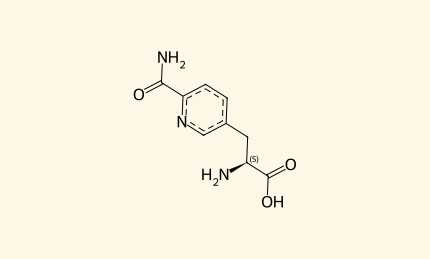 NC(=O)c1ccc(C[C@H](N)C(=O)O)cn1